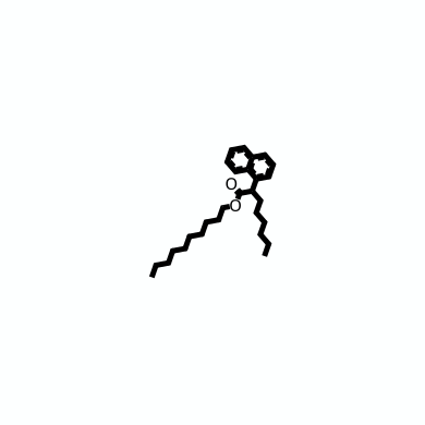 CCCCCCCCCCOC(=O)C(CCCCCC)c1cccc2ccccc12